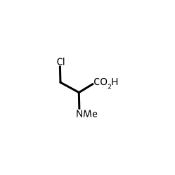 CNC(CCl)C(=O)O